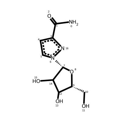 NC(=O)c1ccn([C@@H]2O[C@H](CO)C(O)C2O)n1